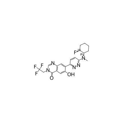 CN(c1ccc(-c2cc3ncn(CC(F)(F)F)c(=O)c3cc2O)nn1)[C@@H]1CCCC[C@@H]1F